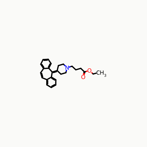 CCOC(=O)CCCN1CCC(=C2c3ccccc3C=Cc3ccccc32)CC1